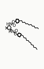 CCCCCCCCCCCCc1ccc(OC(=O)NCC2(C)CC(NC(=O)Oc3ccc(CCCCCCCCCCCC)cc3)CC(C)(C)C2)cc1